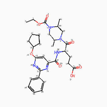 CCOC(=O)N1CC(C)N(C(=O)C(CCC(=O)O)NC(=O)c2cc(OC3CCCC3)nc(-c3ccccc3)n2)CC1C